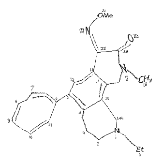 CCN1CCc2c(-c3ccccc3)cc3c(c2C1)N(C)C(=O)C3=NOC